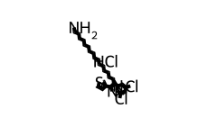 Cl.NCCCCCCCCCCCCCCCCc1c(-c2ccsc2)nc2c(Cl)cc(Cl)cn12